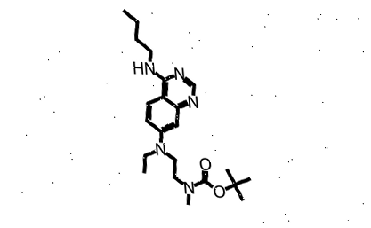 CCCCNc1ncnc2cc(N(CC)CCN(C)C(=O)OC(C)(C)C)ccc12